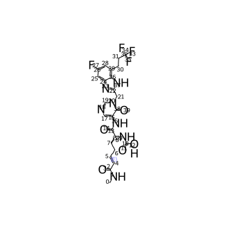 CNC(=O)/C=C/CC[C@H](NC(=O)O)C(=O)Nc1cncn(Cc2nc3cc(F)cc(CCC(F)(F)F)c3[nH]2)c1=O